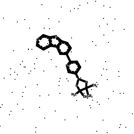 CC1(C)OB(c2ccc(-c3ccc4oc5cnccc5c4c3)nc2)OC1(C)C